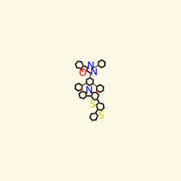 c1ccc(-c2nc(-c3cc(-c4ccccc4)c(-n4c5ccccc5c5c6sc7c(ccc8sc9ccccc9c87)c6ccc54)c(-c4ccccc4)c3)c3oc4ccccc4c3n2)cc1